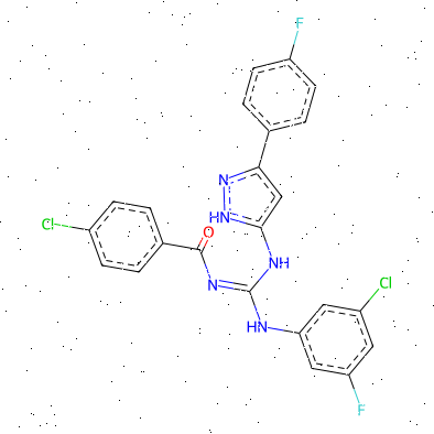 O=C(/N=C(/Nc1cc(F)cc(Cl)c1)Nc1cc(-c2ccc(F)cc2)n[nH]1)c1ccc(Cl)cc1